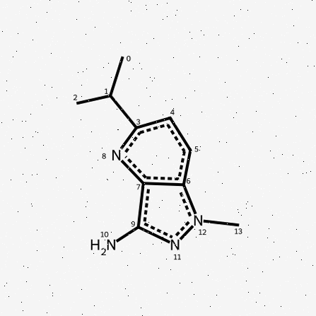 CC(C)c1ccc2c(n1)c(N)nn2C